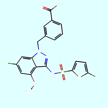 COc1cc(F)cc2c1c(NS(=O)(=O)c1ccc(Cl)s1)nn2Cc1cccc(C(=O)O)c1